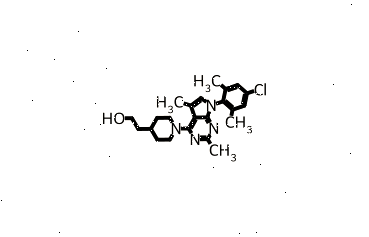 Cc1nc(N2CCC(CCO)CC2)c2c(C)cn(-c3c(C)cc(Cl)cc3C)c2n1